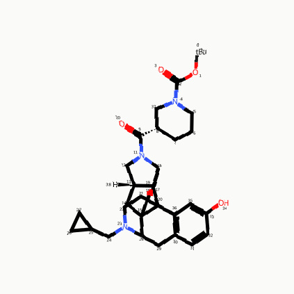 CC(C)(C)OC(=O)N1CCC[C@H](C(=O)N2C[C@H]3CC45CCC2C3C42CCN(CC3CC3)C5Cc3ccc(O)cc32)C1